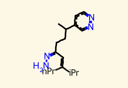 CCC/C(=C\C(CCC(C)c1ccnnc1)=N/N)C(C)C